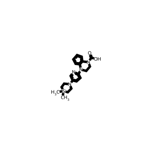 C[Si]1(C)CCN(c2ccc(N3CCN(C(=O)O)c4ccccc43)nc2)CC1